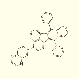 c1ccc(-c2c3c(c(-c4ccccc4)c4ccccc24)-c2ccc(-c4ccc5nccnc5c4)c4cccc-3c24)cc1